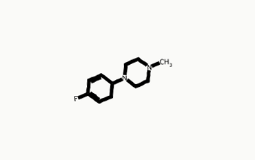 CN1CCN(C2C=CC(F)=CC2)CC1